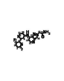 Cc1ccc(F)c(-c2cc(Nc3ccnc4cn(CC(N)=O)nc34)ccn2)n1